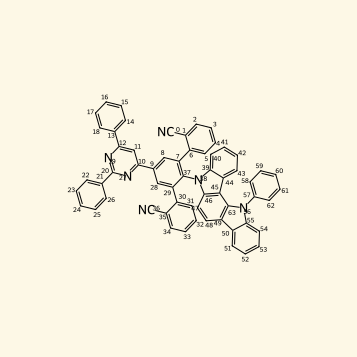 N#Cc1ccccc1-c1cc(-c2cc(-c3ccccc3)nc(-c3ccccc3)n2)cc(-c2ccccc2C#N)c1-n1c2ccccc2c2c1ccc1c3ccccc3n(-c3ccccc3)c12